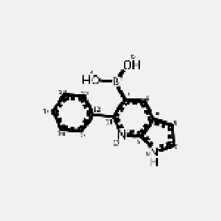 OB(O)c1cc2cc[nH]c2nc1-c1ccccc1